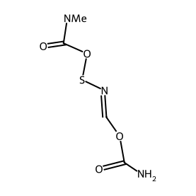 CNC(=O)OSN=COC(N)=O